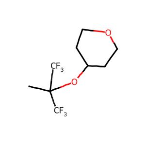 CC(OC1CCOCC1)(C(F)(F)F)C(F)(F)F